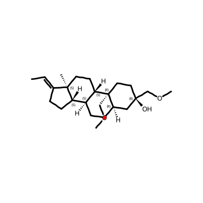 CC=C1CC[C@H]2[C@@H]3CC[C@@H]4C[C@@](O)(COC)CC[C@]4(COC)[C@H]3CC[C@]12C